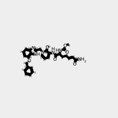 COC(=O)NC(CC/C=C/C(N)=O)C(=O)Nc1cccn(Cc2nc3cccc(OCc4ccccc4)c3[nH]2)c1=O